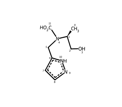 C[C@@H](CO)N(Cc1ccn[nH]1)C(=O)O